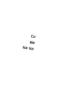 [Cu].[Na].[Na].[Na]